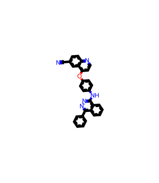 N#Cc1ccc2nccc(Oc3ccc(Nc4nnc(-c5ccccc5)c5ccccc45)cc3)c2c1